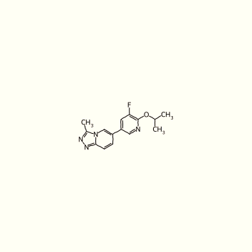 Cc1nnc2ccc(-c3cnc(OC(C)C)c(F)c3)cn12